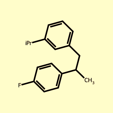 CC(C)c1cccc(CC(C)c2ccc(F)cc2)c1